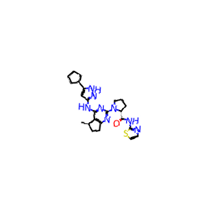 C[C@@H]1CCc2nc(N3CCC[C@@H]3C(=O)Nc3nccs3)nc(Nc3cc(C4CCCC4)[nH]n3)c21